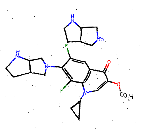 C1CC2CNCC2N1.O=C(O)Oc1cn(C2CC2)c2c(F)c(N3CC4CCNC4C3)c(F)cc2c1=O